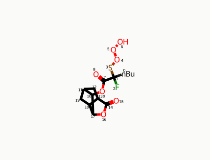 CCCCC(F)(SOOO)C(=O)OC1C2CC3C(=O)OC1C3C2